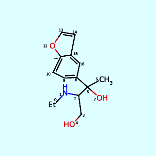 CCNC(CO)C(C)(O)c1ccc2occc2c1